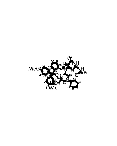 COc1ccc(C(OC[C@]2(CO)CN(C3CCCCC3)C[C@H](n3cnc4c(=O)[nH]c(NC(=O)C(C)C)nc43)O2)(c2ccccc2)c2ccc(OC)cc2)cc1